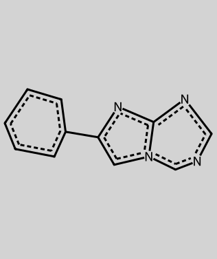 c1ccc(-c2cn3cncnc3n2)cc1